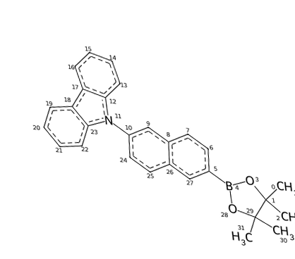 CC1(C)OB(c2ccc3cc(-n4c5ccccc5c5ccccc54)ccc3c2)OC1(C)C